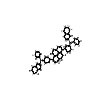 c1ccc(N(c2ccc(-c3ccc4ccc5c(-c6cccc(N(c7ccccc7)c7ccc8ccccc8c7)c6)ccc6ccc3c4c65)cc2)c2ccc3ccccc3c2)cc1